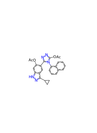 CC(=O)Oc1cc2[nH]nc(C3CC3)c2cc1-c1nnc(OC(C)=O)n1-c1cccc2ccccc12